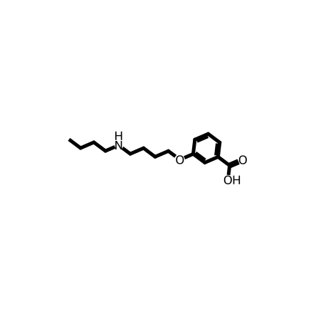 CCCCNCCCCOc1cccc(C(=O)O)c1